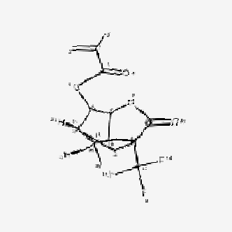 C=C(C)C(=O)OC1C2OC(=O)C3(C(F)(F)F)C[C@@H]1[C@@H](C)C23